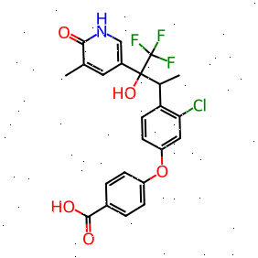 Cc1cc(C(O)(C(C)c2ccc(Oc3ccc(C(=O)O)cc3)cc2Cl)C(F)(F)F)c[nH]c1=O